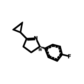 Fc1ccc([C@@H]2CCC(C3CC3)=N2)cc1